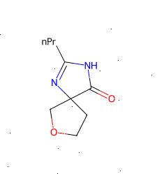 CCCC1=NC2(CCOC2)C(=O)N1